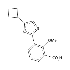 COc1c(C(=O)O)cccc1-c1nc(C2CCC2)cs1